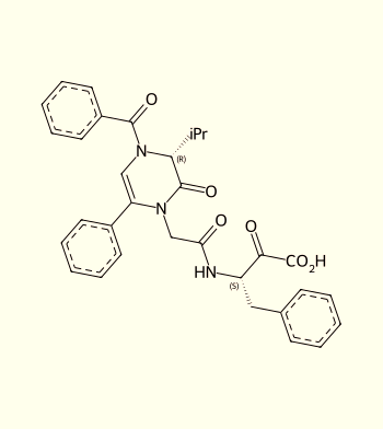 CC(C)[C@@H]1C(=O)N(CC(=O)N[C@@H](Cc2ccccc2)C(=O)C(=O)O)C(c2ccccc2)=CN1C(=O)c1ccccc1